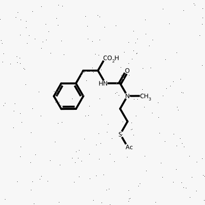 CC(=O)SCCN(C)C(=O)NC(Cc1ccccc1)C(=O)O